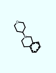 [c]1ccc2c(c1)CN(C1CCOCC1)CC2